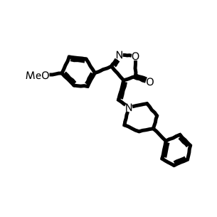 COc1ccc(C2=NOC(=O)C2=CN2CCC(c3ccccc3)CC2)cc1